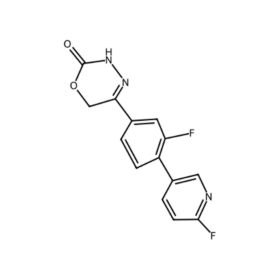 O=C1NN=C(c2ccc(-c3ccc(F)nc3)c(F)c2)CO1